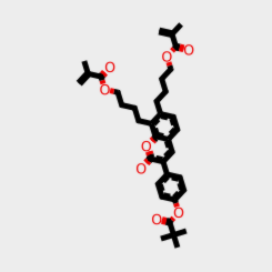 C=C(C)C(=O)OCCCCc1ccc2cc(-c3ccc(OC(=O)C(C)(C)C)cc3)c(=O)oc2c1CCCCOC(=O)C(=C)C